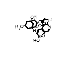 C[C@@H]1C[C@H]2C[C@@](O)(C1)C[C@@H](C)[C@@H]2C1=CB(O)OC2=C1C1(C)C=CNC1N=C2